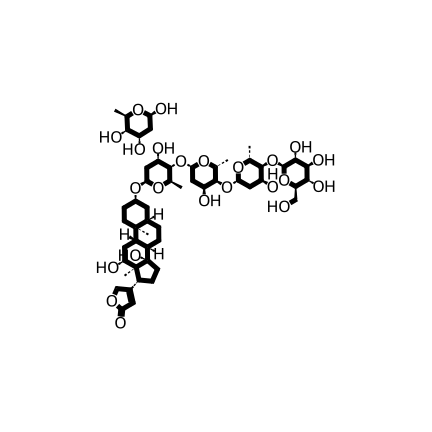 C[C@H]1O[C@@H](O)C[C@H](O)[C@@H]1O.C[C@H]1O[C@@H](O[C@H]2CC[C@@]3(C)[C@H](CC[C@@H]4[C@@H]3C[C@@H](O)[C@]3(C)[C@@H](C5=CC(=O)OC5)CC[C@]43O)C2)C[C@H](O)[C@@H]1O[C@H]1C[C@H](O)[C@H](O[C@H]2C[C@H](O)[C@H](O[C@@H]3O[C@H](CO)[C@@H](O)[C@H](O)[C@H]3O)[C@@H](C)O2)[C@@H](C)O1